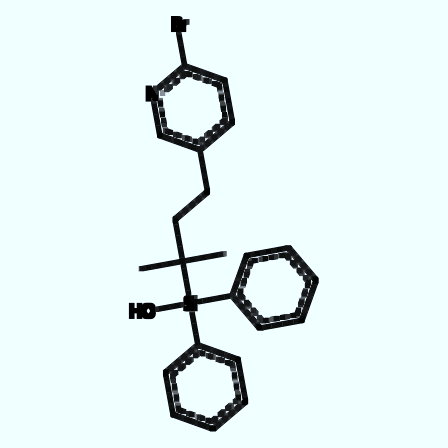 CC(C)(CCc1ccc(Br)nc1)[Si](O)(c1ccccc1)c1ccccc1